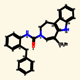 CCOC(=O)C1=CN(C(=O)Nc2ccccc2Cc2ccccc2)CCc2c1[nH]c1ccccc21